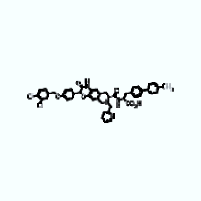 Cc1ccc(-c2ccc(C[C@H](NC(=O)[C@@H]3Cc4cc5c(cc4CN3Cc3ccccn3)OC(c3ccc(OCc4ccc(Cl)c(Cl)c4)cc3)C(=O)N5)C(=O)O)cc2)cc1